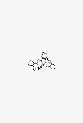 OC[C@@H](O)[C@H]1OC(c2ccccc2Cl)O[C@H]2COC(c3ccccc3Cl)O[C@@H]12